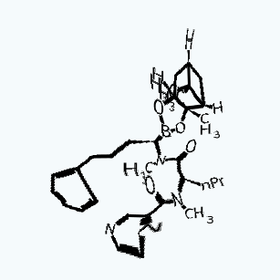 CCC[C@H](C(=O)N(C)[C@@H](CCCc1ccccc1)B1O[C@@H]2C[C@@H]3C[C@@H](C3(C)C)[C@]2(C)O1)N(C)C(=O)c1cnccn1